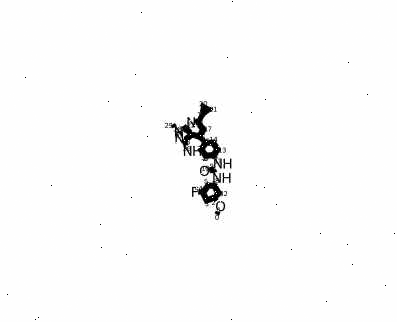 COc1cc(F)cc(NC(=O)Nc2ccc(-c3cc(C4CC4)nc4c3c(N)nn4C)cc2)c1